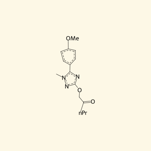 CCCC(=O)COc1nc(-c2ccc(OC)cc2)n(C)n1